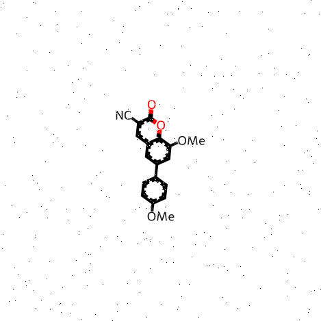 COc1ccc(-c2cc(OC)c3oc(=O)c(C#N)cc3c2)cc1